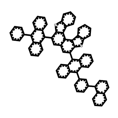 c1ccc(-c2c3ccccc3c(-c3cc4cc(-c5c6ccccc6c(-c6cccc(-c7cccc8ccccc78)c6)c6ccccc56)c5oc6ccccc6c5c4c4c3oc3ccccc34)c3ccccc23)cc1